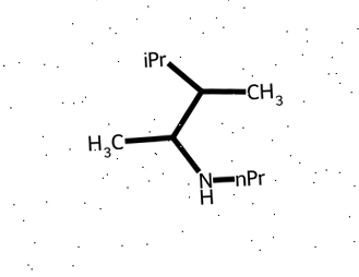 CCCNC(C)C(C)C(C)C